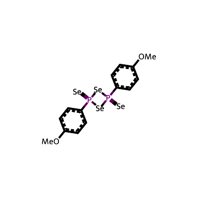 COc1ccc(P2(=[Se])[Se]P(=[Se])(c3ccc(OC)cc3)[Se]2)cc1